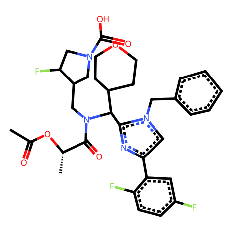 CC(=O)O[C@@H](C)C(=O)N(CC1CN(C(=O)O)CC1F)C(c1nc(-c2cc(F)ccc2F)cn1Cc1ccccc1)C1CCOCC1